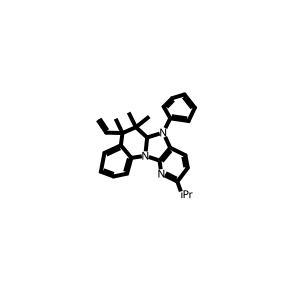 C=CC1(C)c2ccccc2N2c3nc(C(C)C)ccc3N(c3ccccc3)C2C1(C)C